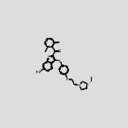 CC[C@@H]1CCN(CCOc2ccc(Oc3c(C(=O)c4c(C)cccc4C)sc4cc(O)ccc34)cc2)C1